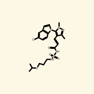 Cc1nn(C)c(-n2ccc3cc(Cl)ccc32)c1/C=C/C(=O)NS(=O)(=O)NCCCOC(C)C